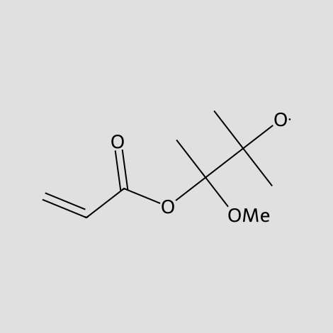 C=CC(=O)OC(C)(OC)C(C)(C)[O]